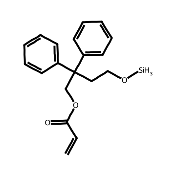 C=CC(=O)OCC(CCO[SiH3])(c1ccccc1)c1ccccc1